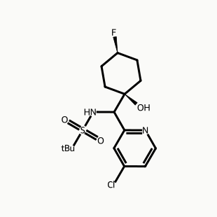 CC(C)(C)S(=O)(=O)NC(c1cc(Cl)ccn1)[C@]1(O)CC[C@@H](F)CC1